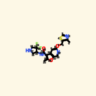 Cc1ncsc1COc1cc2c(C(=O)NC3CNCC3(F)F)c(C)oc2cn1